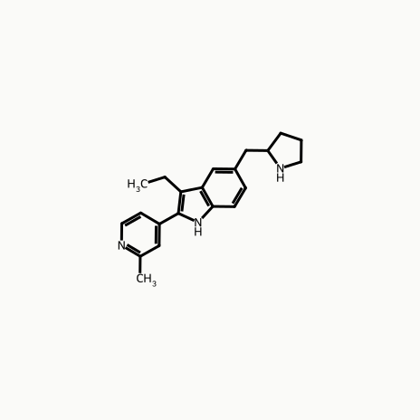 CCc1c(-c2ccnc(C)c2)[nH]c2ccc(CC3CCCN3)cc12